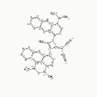 CN(C)c1ccc(C2C(O)=C(c3ccc4c5c(c6ccccc6cc35)N(C)CN4C)C2=C(C#N)C#N)c2cc3ccccc3cc12